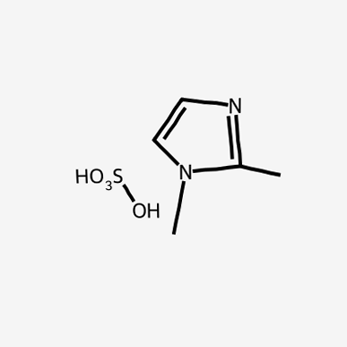 Cc1nccn1C.O=S(=O)(O)O